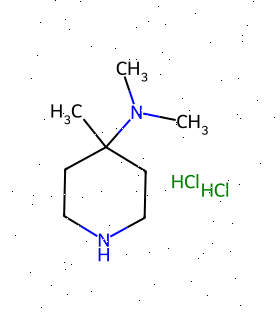 CN(C)C1(C)CCNCC1.Cl.Cl